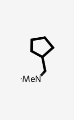 C[N]CC1CCCC1